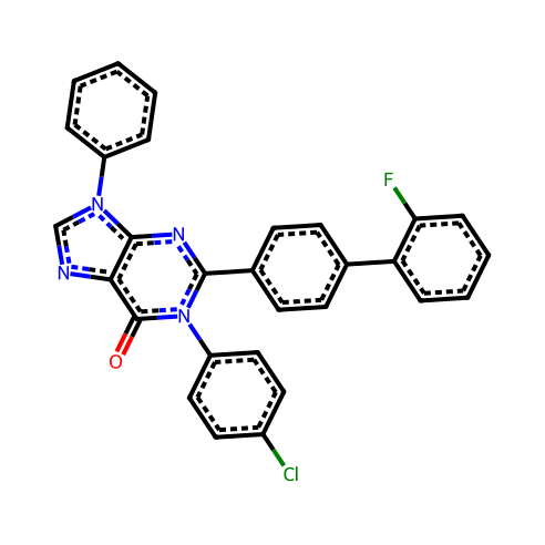 O=c1c2ncn(-c3ccccc3)c2nc(-c2ccc(-c3ccccc3F)cc2)n1-c1ccc(Cl)cc1